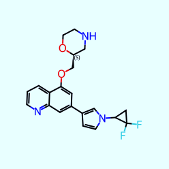 FC1(F)CC1n1ccc(-c2cc(OC[C@@H]3CNCCO3)c3cccnc3c2)c1